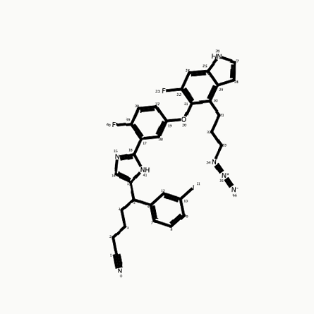 N#CCCCC(c1cccc(I)c1)c1cnc(-c2cc(Oc3c(F)cc4[nH]ccc4c3CCCN=[N+]=[N-])ccc2F)[nH]1